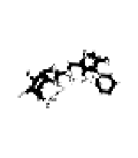 Cc1c(C[S+]([O-])c2nc3c(F)c(F)c4cc3n2OCO4)ncc(Br)c1N1CCCCC1